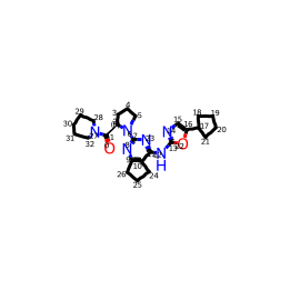 O=C([C@H]1CCCN1c1nc2c(c(Nc3ncc(C4CCCC4)o3)n1)CCC2)N1CCCCC1